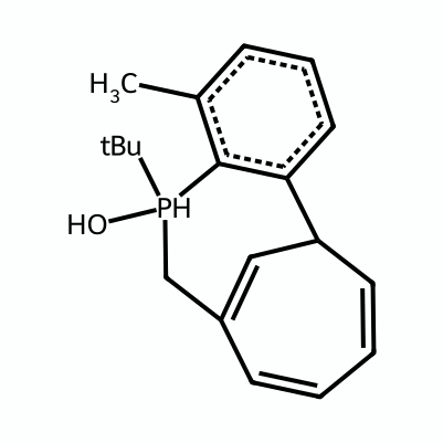 Cc1cccc2c1[PH](O)(C(C)(C)C)CC1=CC2C=CC=C1